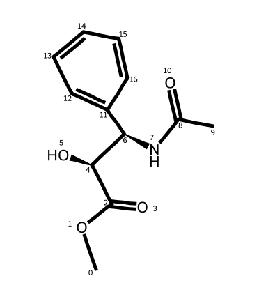 COC(=O)[C@@H](O)[C@H](NC(C)=O)c1ccccc1